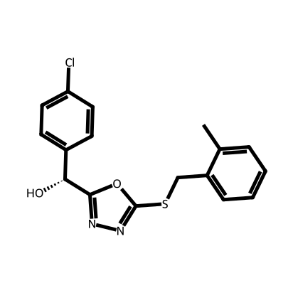 Cc1ccccc1CSc1nnc([C@H](O)c2ccc(Cl)cc2)o1